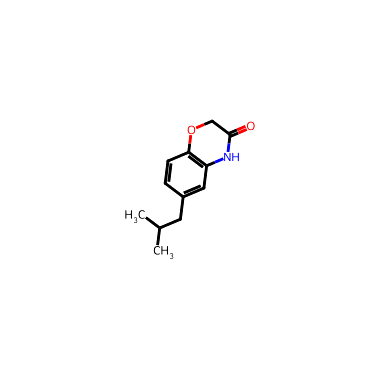 CC(C)Cc1ccc2c(c1)NC(=O)CO2